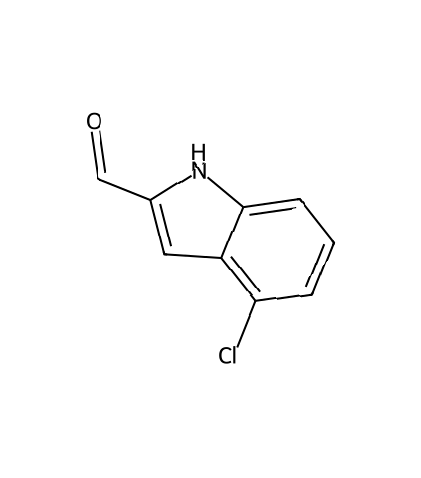 O=Cc1cc2c(Cl)cccc2[nH]1